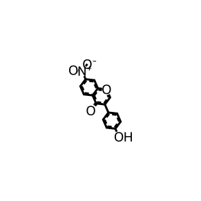 O=c1c(-c2ccc(O)cc2)coc2cc([N+](=O)[O-])ccc12